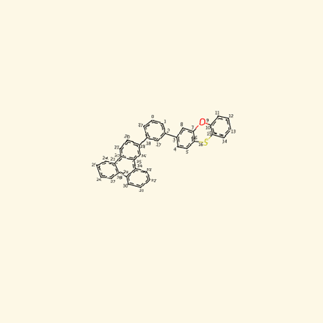 c1cc(-c2ccc3c(c2)Oc2ccccc2S3)cc(-c2ccc3c4ccccc4c4ccccc4c3c2)c1